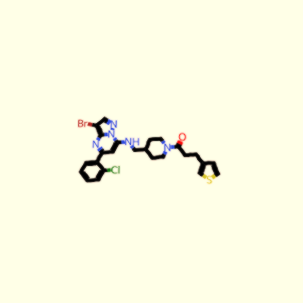 O=C(CCc1ccsc1)N1CCC(CNc2cc(-c3ccccc3Cl)nc3c(Br)cnn23)CC1